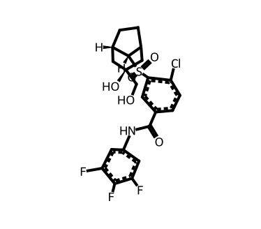 O=C(Nc1cc(F)c(F)c(F)c1)c1ccc(Cl)c(S(=O)(=O)[C@H]2C3CC[C@H]2C[C@@](O)(CO)C3)c1